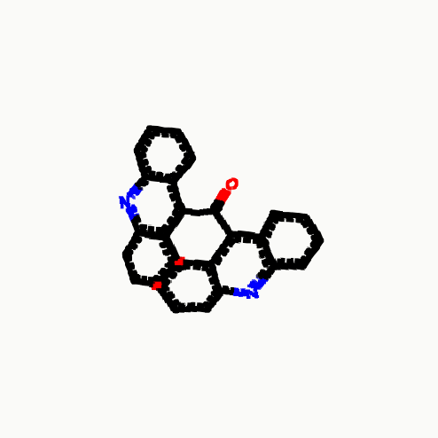 O=C(c1c2ccccc2nc2ccccc12)c1c2ccccc2nc2ccccc12